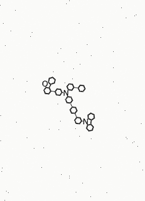 c1ccc(-c2cccc(N(c3ccc(-c4ccc(-c5cccc(-n6c7ccccc7c7ccccc76)c5)cc4)cc3)c3ccc(-c4cccc5oc6ccccc6c45)cc3)c2)cc1